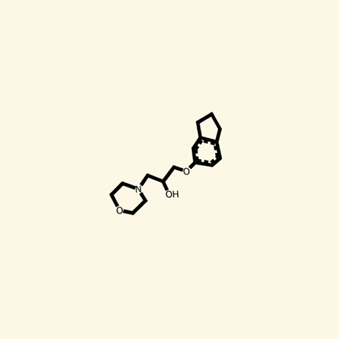 OC(COc1ccc2c(c1)CCC2)CN1CCOCC1